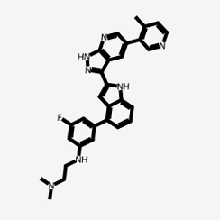 Cc1ccncc1-c1cnc2[nH]nc(-c3cc4c(-c5cc(F)cc(NCCN(C)C)c5)cccc4[nH]3)c2c1